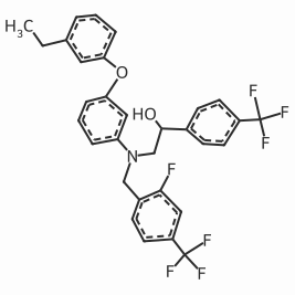 CCc1cccc(Oc2cccc(N(Cc3ccc(C(F)(F)F)cc3F)CC(O)c3ccc(C(F)(F)F)cc3)c2)c1